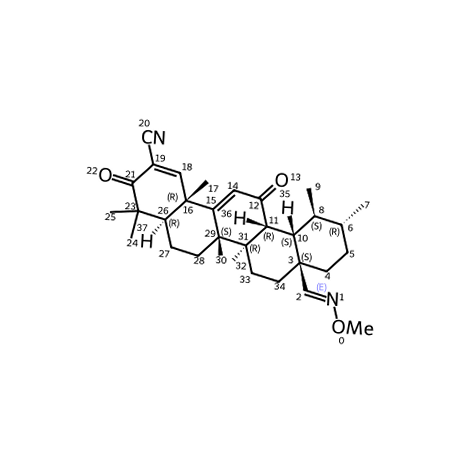 CO/N=C/[C@]12CC[C@@H](C)[C@H](C)[C@H]1[C@H]1C(=O)C=C3[C@@]4(C)C=C(C#N)C(=O)C(C)(C)[C@@H]4CC[C@@]3(C)[C@]1(C)CC2